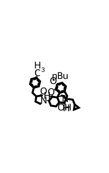 CCCCOc1ccc2c3c1O[C@H]1[C@@H](N4CCC(Cc5ccc(C)cc5)C4=O)CC[C@@]4(O)[C@@H](C2)N(CC2CC2)CC[C@]314